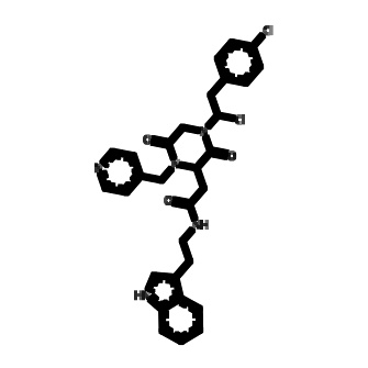 O=C(CC1C(=O)N(C(Cl)Cc2ccc(Cl)cc2)CC(=O)N1Cc1ccncc1)NCCc1c[nH]c2ccccc12